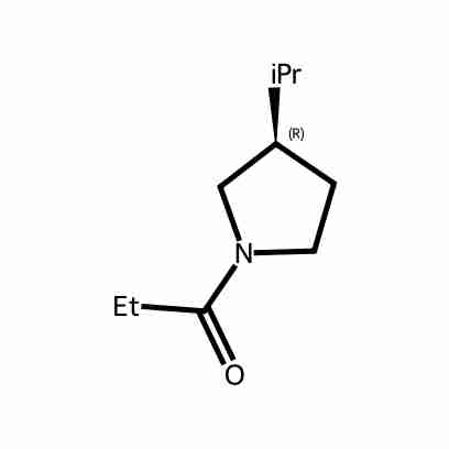 CCC(=O)N1CC[C@H](C(C)C)C1